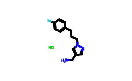 Cl.NCc1cnn(CCCc2ccc(F)cc2)c1